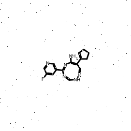 Nc1nc(-c2cncc(F)c2)nc[nH]ncc1C1=CCCC1